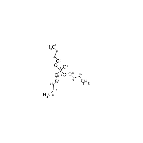 CCCO[O][V](=[O])([O]OCCC)[O]OCCC